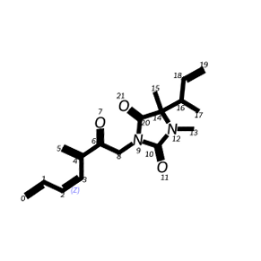 C=C/C=C\C(=C)C(=O)CN1C(=O)N(C)C(C)(C(C)C=C)C1=O